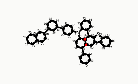 c1ccc(-c2ccc(N(c3ccc(-c4cccc(-c5ccc6ccccc6c5)c4)cc3)c3ccccc3-c3cccc4c3sc3ccccc34)cc2)cc1